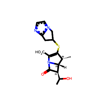 CC(O)[C@H]1C(=O)N2C(C(=O)O)=C(SC3Cc4nccn4C3)[C@H](C)[C@H]12